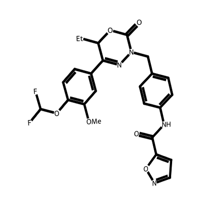 CCC1OC(=O)N(Cc2ccc(NC(=O)c3ccno3)cc2)N=C1c1ccc(OC(F)F)c(OC)c1